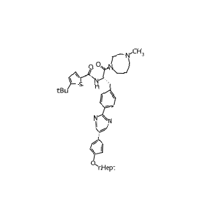 CCCCCCCOc1ccc(-c2cnc(-c3ccc(C[C@H](NC(=O)c4ccc(C(C)(C)C)s4)C(=O)N4CCCN(C)CC4)cc3)nc2)cc1